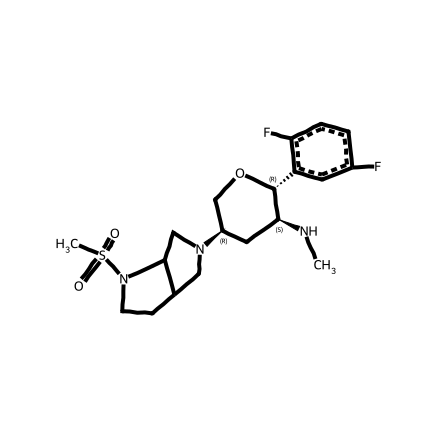 CN[C@H]1C[C@@H](N2CC3CCN(S(C)(=O)=O)C3C2)CO[C@@H]1c1cc(F)ccc1F